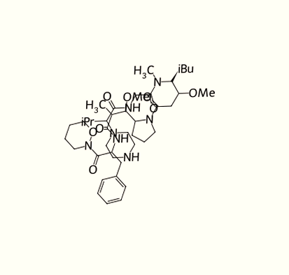 CC[C@H](C)C(C(CC(=O)N1CCCC1C(OC)C(C)C(=O)NC(Cc1ccccc1)C(=O)N1CCCCO1)OC)N(C)C(=O)CNC(=O)C(C(C)C)N1CCNCC1